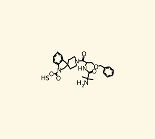 CC(C)(N)C(=O)NC(COCc1ccccc1)C(=O)N1CCC2(CC1)CN(C(=O)OS)c1ccccc12